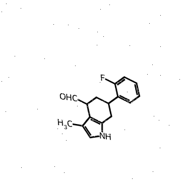 Cc1c[nH]c2c1C(C=O)CC(c1ccccc1F)C2